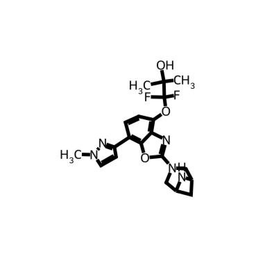 Cn1ccc(-c2ccc(OC(F)(F)C(C)(C)O)c3nc(N4CC5CC(C4)N5)oc23)n1